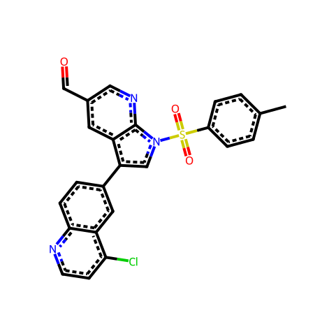 Cc1ccc(S(=O)(=O)n2cc(-c3ccc4nccc(Cl)c4c3)c3cc(C=O)cnc32)cc1